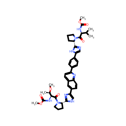 COC(=O)N[C@H](C(=O)N1CCC[C@H]1c1ncc(-c2ccc(-c3ccc4cc(-c5c[nH]c([C@@H]6CCCN6C(=O)[C@@H](NC(=O)OC)[C@@H](C)OC)n5)ccc4n3)cc2)[nH]1)C(C)C